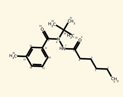 CCCCCC(=O)NN(C(=O)c1cccc(C)c1)C(C)(C)C